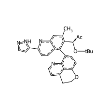 CC(=O)[C@@H](OC(C)(C)C)c1c(C)cc2nc(-c3ccn[nH]3)ccc2c1-c1ccc2c3c(ccnc13)CCO2